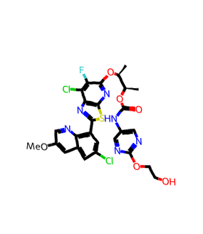 COc1cnc2c(-c3nc4c(Cl)c(F)c(O[C@@H](C)[C@@H](C)OC(=O)Nc5cnc(OCCO)nc5)nc4s3)cc(Cl)cc2c1